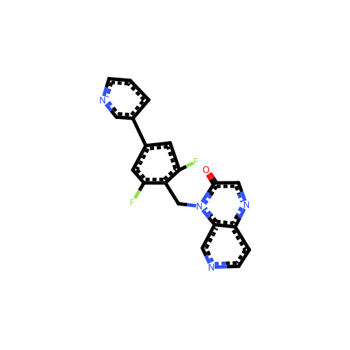 O=c1cnc2ccncc2n1Cc1c(F)cc(-c2cccnc2)cc1F